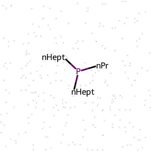 CCCCCCCP(CCC)CCCCCCC